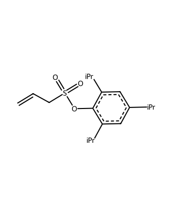 C=CCS(=O)(=O)Oc1c(C(C)C)cc(C(C)C)cc1C(C)C